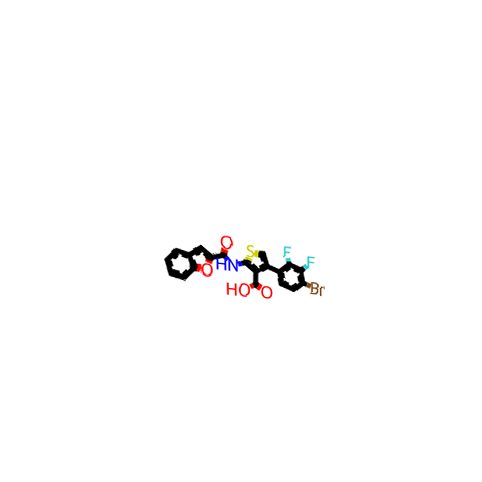 O=C(Nc1scc(-c2ccc(Br)c(F)c2F)c1C(=O)O)c1cc2ccccc2o1